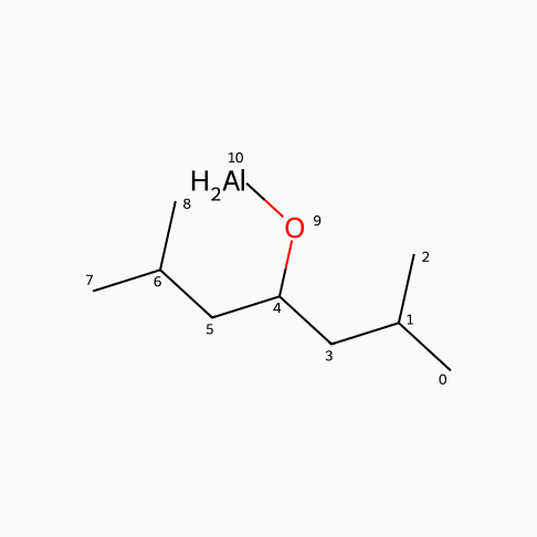 CC(C)CC(CC(C)C)[O][AlH2]